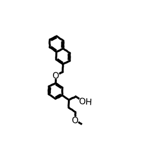 COCCC(CO)c1cccc(OCc2ccc3ccccc3c2)c1